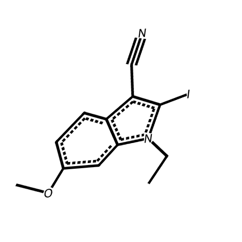 CCn1c(I)c(C#N)c2ccc(OC)cc21